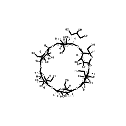 OCC(O)CO.OC[C@H]1O[C@@H]2O[C@H]3[C@H](O)[C@@H](O)[C@@H](O[C@H]4[C@H](O)[C@@H](O)[C@@H](O[C@H]5[C@H](O)[C@@H](O)[C@@H](O[C@H]6[C@H](O)[C@@H](O)[C@@H](O[C@H]7[C@H](O)[C@@H](O)[C@@H](O[C@H]1[C@H](O)[C@H]2O)O[C@@H]7CO)O[C@@H]6CO)O[C@@H]5CO)O[C@@H]4CO)O[C@@H]3CO